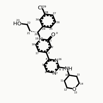 O=c1cc(-c2ccnc(NC3CCOCC3)n2)ccn1[C@H](CCO)c1cccc(Cl)c1